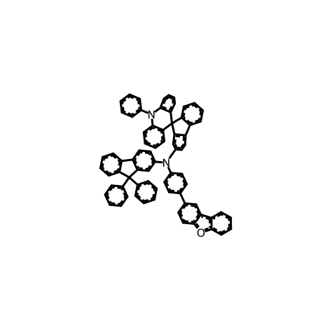 c1ccc(N2c3ccccc3C3(c4ccccc4-c4ccc(N(c5ccc(-c6ccc7oc8ccccc8c7c6)cc5)c5ccc6c(c5)C(c5ccccc5)(c5ccccc5)c5ccccc5-6)cc43)c3ccccc32)cc1